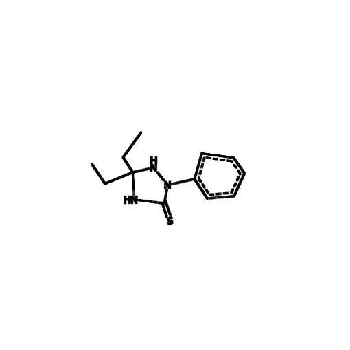 CCC1(CC)NC(=S)N(c2ccccc2)N1